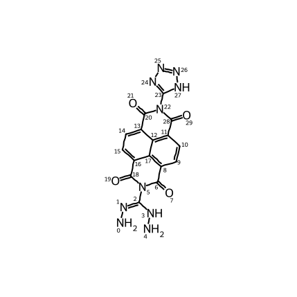 N/N=C(\NN)N1C(=O)c2ccc3c4c(ccc(c24)C1=O)C(=O)N(c1nnn[nH]1)C3=O